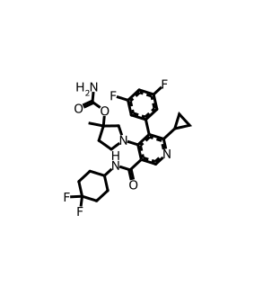 CC1(OC(N)=O)CCN(c2c(C(=O)NC3CCC(F)(F)CC3)cnc(C3CC3)c2-c2cc(F)cc(F)c2)C1